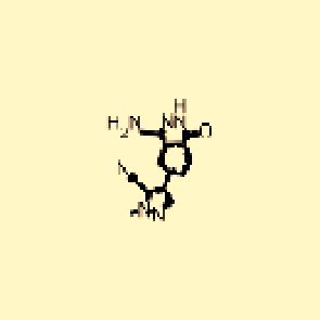 Cn1ncc(-c2ccc3c(=O)[nH]nc(CN)c3c2)c1C#N